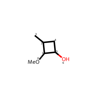 COC1C(C)CC1O